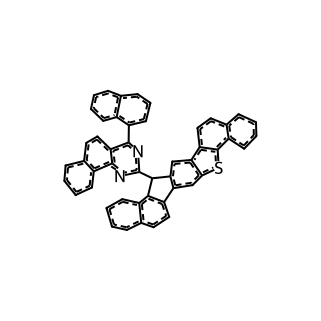 c1ccc2c(-c3nc(C4c5cc6c(cc5-c5ccc7ccccc7c54)sc4c5ccccc5ccc64)nc4c3ccc3ccccc34)cccc2c1